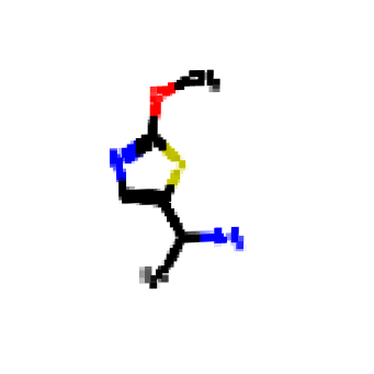 COc1ncc(C(C)N)s1